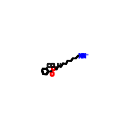 [N-]=[N+]=CCCCCCCCCCOC(=O)c1ccccc1C(=O)O